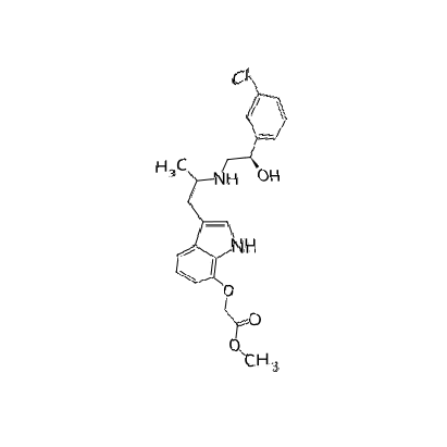 COC(=O)COc1cccc2c(CC(C)NC[C@H](O)c3cccc(Cl)c3)c[nH]c12